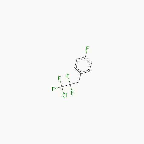 Fc1ccc(CC(F)(F)C(F)(F)Cl)cc1